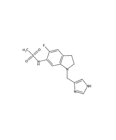 CS(=O)(=O)Nc1cc2c(cc1F)CCN2Cc1c[nH]cn1